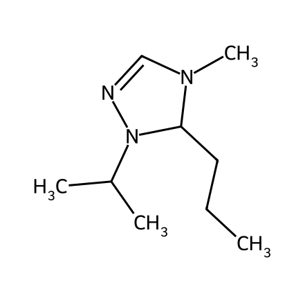 CCCC1N(C)C=NN1C(C)C